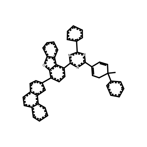 CC1(c2ccccc2)C=CC(c2nc(-c3ccccc3)nc(-c3ccc(-c4ccc5ccc6ccccc6c5c4)c4oc5ccccc5c34)n2)=CC1